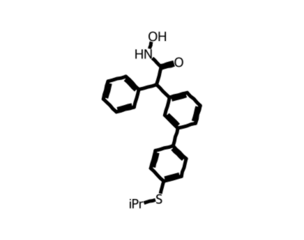 CC(C)Sc1ccc(-c2cccc(C(C(=O)NO)c3ccccc3)c2)cc1